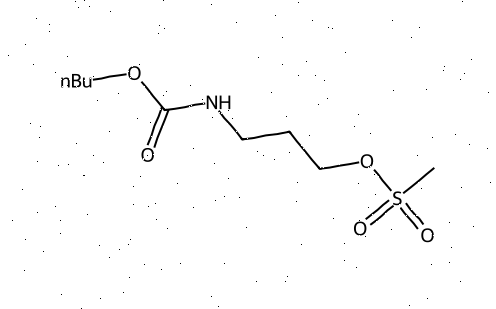 CCCCOC(=O)NCCCOS(C)(=O)=O